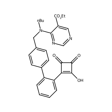 CCCCN(Cc1ccc(-c2ccccc2-c2c(O)c(=O)c2=O)cc1)c1ncncc1C(=O)OCC